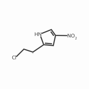 O=[N+]([O-])c1c[nH]c([CH]CCl)c1